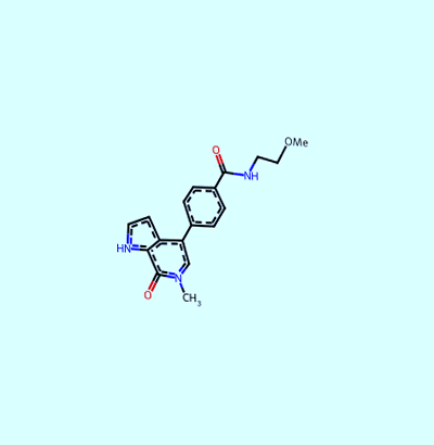 COCCNC(=O)c1ccc(-c2cn(C)c(=O)c3[nH]ccc23)cc1